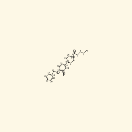 CCCCC(=O)N1CCN(c2ccc(OCc3ccccc3)c(F)c2)CC1